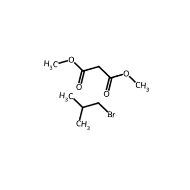 CC(C)CBr.COC(=O)CC(=O)OC